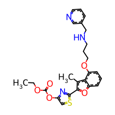 CCOC(=O)Oc1csc(-c2oc3cccc(OCCCNCc4cccnc4)c3c2C)n1